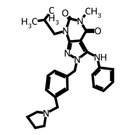 CC(C)Cn1c(=O)n(C)c(=O)c2c(Nc3ccccc3)n(Cc3cccc(CN4CCCC4)c3)nc21